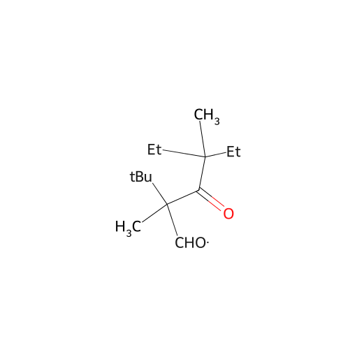 CCC(C)(CC)C(=O)C(C)([C]=O)C(C)(C)C